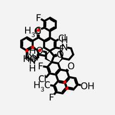 Cc1c(F)cccc1C1=C(C(=O)c2cccc(O)c2)[C@H](C2CCCNC2)[C@@](CCO)(C(=O)[C@@]2(CCO)C(F)=C(Cl)C(c3cccc(F)c3C)=C(C(=O)c3cccc(O)c3)[C@@H]2C2CCCNC2)C(F)=C1Cl